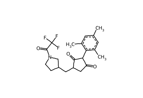 Cc1cc(C)c(C2C(=O)CC(CC3CCN(C(=O)C(F)(F)F)C3)C2=O)c(C)c1